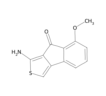 COc1cccc2c1C(=O)c1c-2csc1N